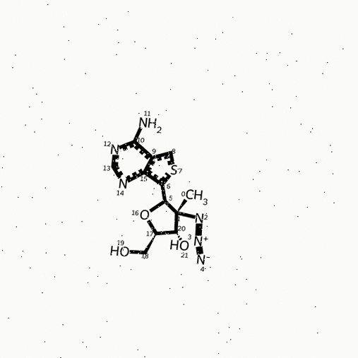 C[C@]1(N=[N+]=[N-])C(c2scc3c(N)ncnc23)O[C@H](CO)[C@H]1O